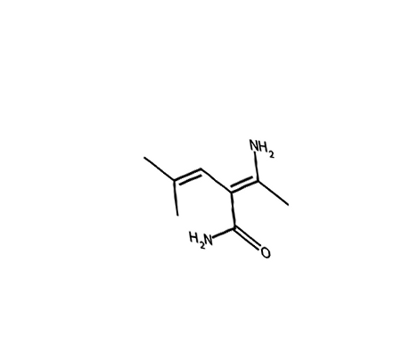 CC(C)=C/C(C(N)=O)=C(/C)N